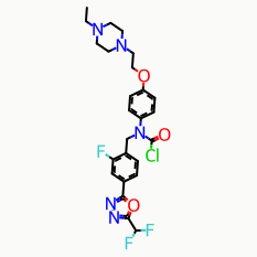 CCN1CCN(CCOc2ccc(N(Cc3ccc(-c4nnc(C(F)F)o4)cc3F)C(=O)Cl)cc2)CC1